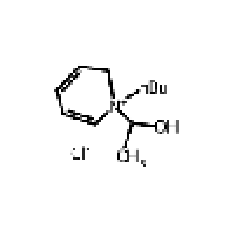 CCCC[N+]1(C(C)O)C=CC=CC1.[Cl-]